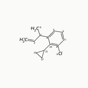 [CH2]C(C=C)c1cccc(Cl)c1C1CC1